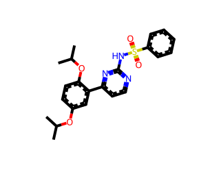 CC(C)Oc1ccc(OC(C)C)c(-c2ccnc(NS(=O)(=O)c3ccccc3)n2)c1